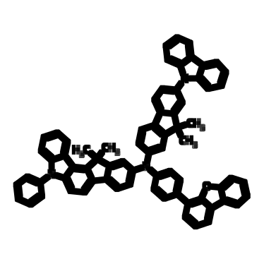 CC1(C)c2cc(N(c3ccc(-c4cccc5c4oc4ccccc45)cc3)c3ccc4c(c3)C(C)(C)c3c-4ccc4c3c3ccccc3n4-c3ccccc3)ccc2-c2ccc(-n3c4ccccc4c4ccccc43)cc21